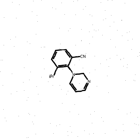 CC(C)c1cccc(C#N)c1N1C=CC=NC1